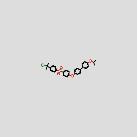 CC(C)Oc1ccc(-c2ccc(Oc3ccc(S(=O)(=O)c4ccc(C(C)(C)Cl)cc4)cc3)cc2)cc1